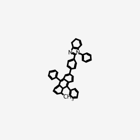 CC1C=CC=C2C(c3ccccc3)=c3cc(-c4ccc(-c5nc6c(n5-c5ccccc5)C=CCC6)cc4)ccc3=C(c3ccccc3)C21